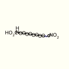 O=C(O)NCCOCCOCCOCCOCCOCCOCCOCCOC/C=C/c1ccc([N+](=O)[O-])cc1